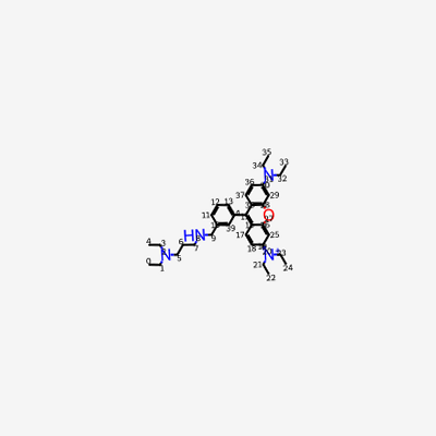 CCN(CC)CCCNCc1cccc(-c2c3ccc(=[N+](CC)CC)cc-3oc3cc(N(CC)CC)ccc23)c1